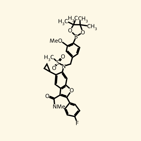 CNC(=O)c1c(-c2ccc(F)cc2)oc2cc(N(Cc3ccc(B4OC(C)(C)C(C)(C)O4)c(OC)c3)S(C)(=O)=O)c(C3CC3)cc12